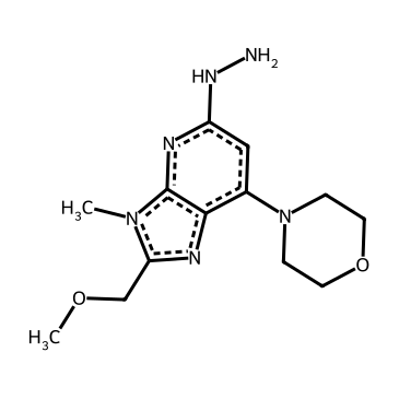 COCc1nc2c(N3CCOCC3)cc(NN)nc2n1C